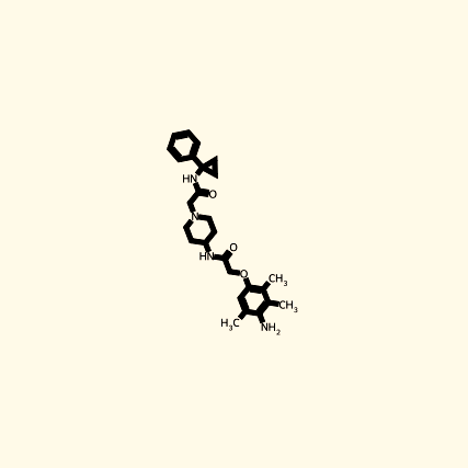 Cc1cc(OCC(=O)NC2CCN(CC(=O)NC3(c4ccccc4)CC3)CC2)c(C)c(C)c1N